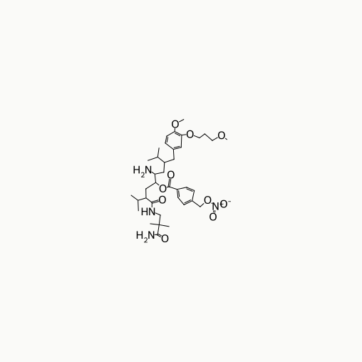 COCCCOc1cc(CC(CC(N)C(CC(C(=O)NCC(C)(C)C(N)=O)C(C)C)OC(=O)c2ccc(CO[N+](=O)[O-])cc2)C(C)C)ccc1OC